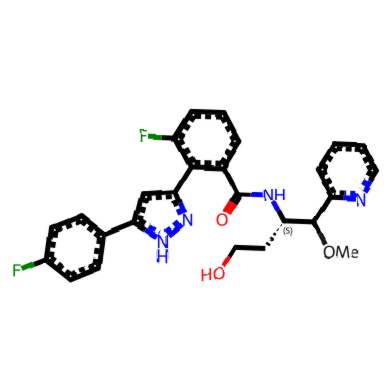 COC(c1ccccn1)[C@H](CCO)NC(=O)c1cccc(F)c1-c1cc(-c2ccc(F)cc2)[nH]n1